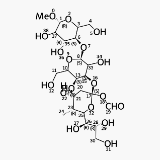 CO[C@@H]1OC(CO)[C@@H](O[C@@H]2OC(CO)[C@H](O)[C@H](O[C@]3(OC=O)C[C@@H](O)[C@@H](C)C([C@H](O)[C@H](O)CO)O3)C2O)[C@H](O)C1O